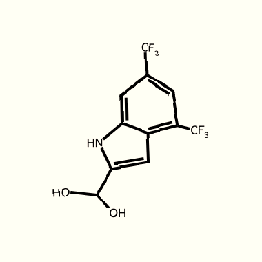 OC(O)c1cc2c(C(F)(F)F)cc(C(F)(F)F)cc2[nH]1